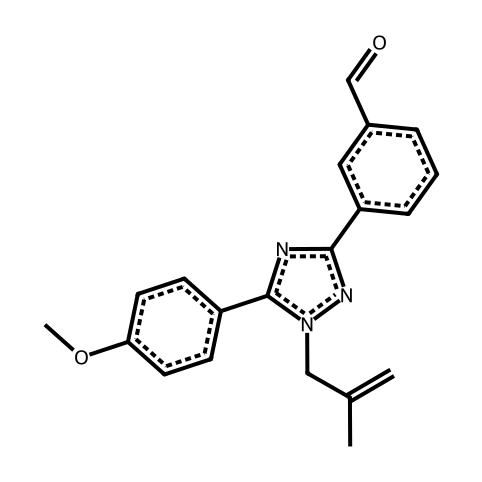 C=C(C)Cn1nc(-c2cccc(C=O)c2)nc1-c1ccc(OC)cc1